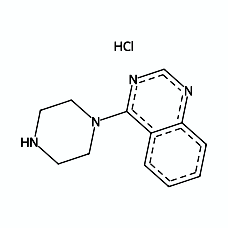 Cl.c1ccc2c(N3CCNCC3)ncnc2c1